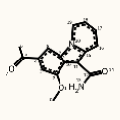 COc1cc(C(C)=O)cc2c1c(C(N)=O)c1ccccn12